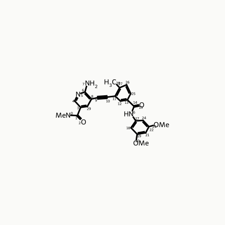 CNC(=O)c1cnc(N)c(C#Cc2cc(C(=O)Nc3cc(OC)cc(OC)c3)ccc2C)c1